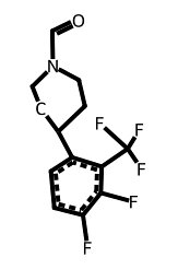 O=CN1CCC(c2ccc(F)c(F)c2C(F)(F)F)CC1